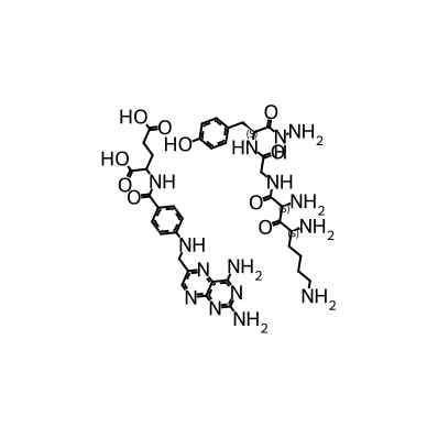 NCCCC[C@H](N)C(=O)[C@H](N)C(=O)NCC(=O)N[C@@H](Cc1ccc(O)cc1)C(=O)NN.Nc1nc(N)c2nc(CNc3ccc(C(=O)NC(CCC(=O)O)C(=O)O)cc3)cnc2n1